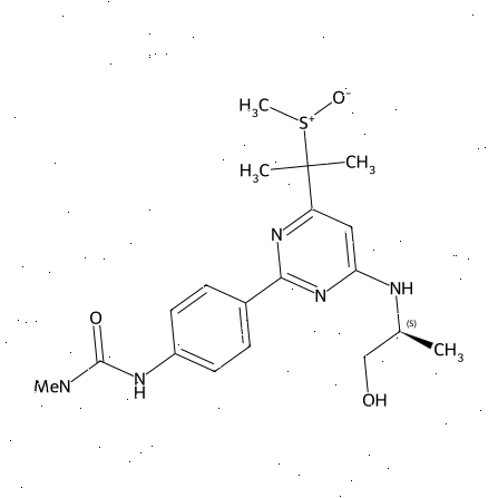 CNC(=O)Nc1ccc(-c2nc(N[C@@H](C)CO)cc(C(C)(C)[S+](C)[O-])n2)cc1